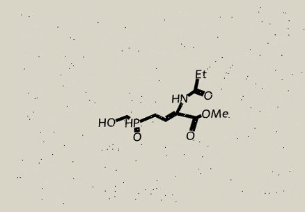 CCC(=O)N/C(=C\C[PH](=O)CO)C(=O)OC